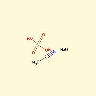 CC#N.O=S(=O)(O)O.[NaH]